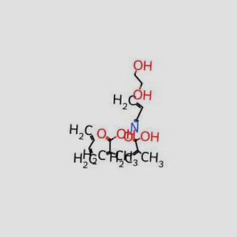 C=C(C)C(=O)O.C=C(C)C(=O)O.C=CC#N.C=CC=C.OCCO